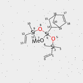 C=C[Si](C)(C)O[Si](OC)(O[Si](C)(C)C=C)C1CC2C=CC1C2